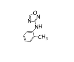 Cc1ccccc1Nc1ncon1